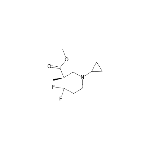 COC(=O)[C@]1(C)CN(C2CC2)CCC1(F)F